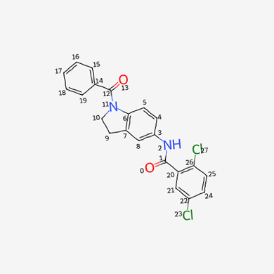 O=C(Nc1ccc2c(c1)CCN2C(=O)c1ccccc1)c1cc(Cl)ccc1Cl